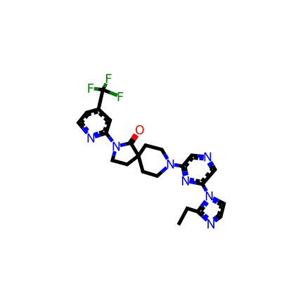 CCc1nccn1-c1cncc(N2CCC3(CC2)CCN(c2cc(C(F)(F)F)ccn2)C3=O)n1